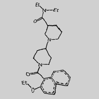 CCOc1ccc2ccccc2c1C(=O)N1CCC(N2CCCC(C(=O)N(CC)CC)C2)CC1